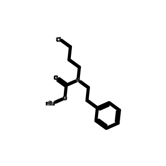 CCCCOC(=O)N(CCCCl)CCc1ccccc1